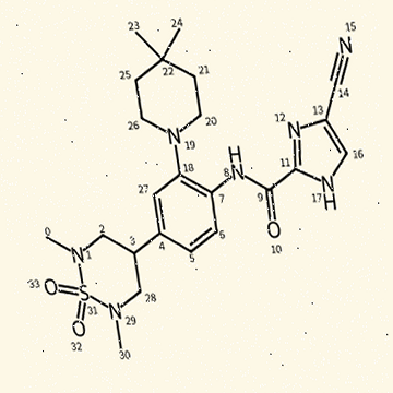 CN1CC(c2ccc(NC(=O)c3nc(C#N)c[nH]3)c(N3CCC(C)(C)CC3)c2)CN(C)S1(=O)=O